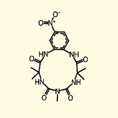 CN1C(=O)NC(C)(C)C(=O)Nc2ccc([N+](=O)[O-])cc2NC(=O)C(C)(C)NC1=O